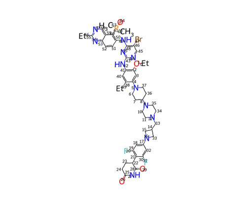 CCOc1cc(N2CCC(N3CCN(CC4CN(c5cc(F)c(C6CCC(=O)NC6=O)c(F)c5)C4)CC3)CC2)c(CC)cc1Nc1ncc(Br)c(Nc2ccc3nc(CC)ncc3c2P(C)(C)=O)n1